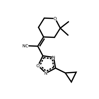 CC1(C)C/C(=C(/C#N)c2nc(C3CC3)no2)CCO1